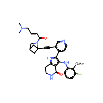 COc1c(F)cccc1Nc1c(-c2ccncc2C#CC23CC(CN2C(=O)/C=C/CN(C)C)C3)[nH]c2c1C(=O)NCC2